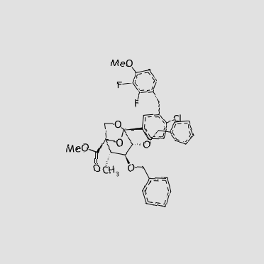 COC(=O)[C@@]12CO[C@@](c3ccc(Cl)c(Cc4ccc(OC)c(F)c4F)c3)(O1)[C@H](OCc1ccccc1)[C@@H](OCc1ccccc1)[C@@H]2C